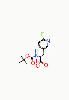 CC(C)(C)OC(=O)N[C@@H](Cc1ccc(F)nc1)C(=O)O